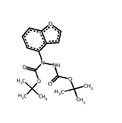 CC(C)(C)OC(=O)NN(C(=O)OC(C)(C)C)c1cccc2occc12